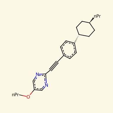 CCCOc1cnc(C#Cc2ccc([C@H]3CC[C@H](CCC)CC3)cc2)nc1